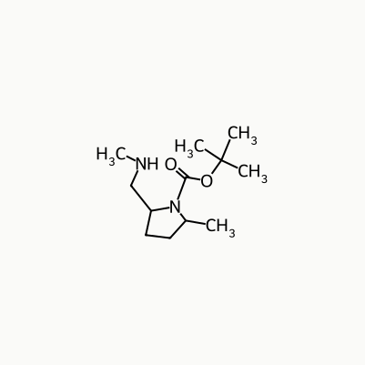 CNCC1CCC(C)N1C(=O)OC(C)(C)C